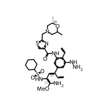 C=C/C(=C\C(NS(=O)(=O)C1CCCCC1)=C(/N)OC)c1cc(NN)c(C=C)c(NC(=O)c2csc(CN3CC(C)O[C@@H](C)C3)n2)c1